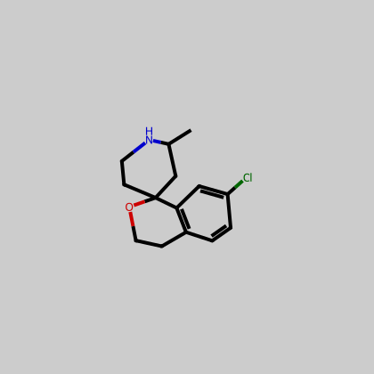 CC1CC2(CCN1)OCCc1ccc(Cl)cc12